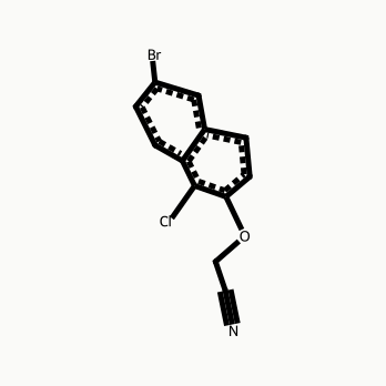 N#CCOc1ccc2cc(Br)ccc2c1Cl